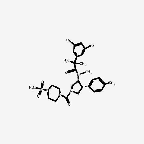 Cc1ccc([C@@H]2CN(C(=O)N3CCN(S(C)(=O)=O)CC3)C[C@H]2N(C)C(=O)C(C)(C)c2cc(Cl)cc(Cl)c2)cc1